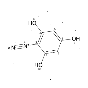 N#[N+]c1c(O)cc(O)cc1O